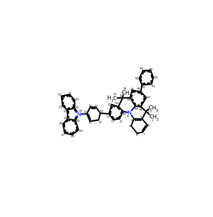 CC1(C)C2=C(CCC=C2)N2c3ccc(C4C=CC(n5c6ccccc6c6ccccc65)=CC4)cc3C(C)(C)c3cc(-c4ccccc4)cc1c32